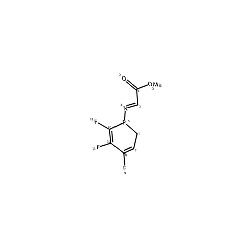 COC(=O)C=NP1CC=C(F)C(F)=C1F